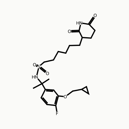 CC(C)(NS(=O)(=O)CCCCCCC1CCC(=O)NC1=O)c1ccc(F)c(OCC2CC2)c1